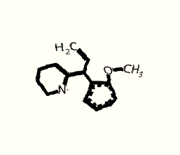 C=CC(c1ccccc1OC)C1CCCC[N]1